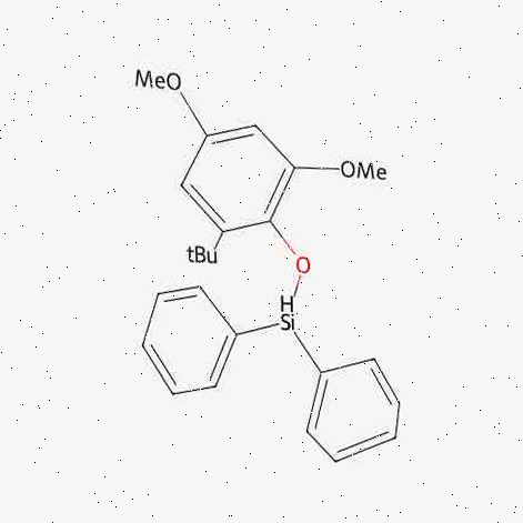 COc1cc(OC)c(O[SiH](c2ccccc2)c2ccccc2)c(C(C)(C)C)c1